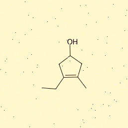 CCC1=C(C)CC(O)C1